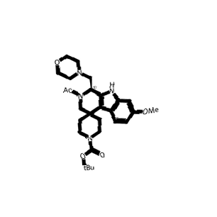 COc1ccc2c3c([nH]c2c1)[C@H](CN1CCOCC1)N(C(C)=O)CC31CCN(C(=O)OC(C)(C)C)CC1